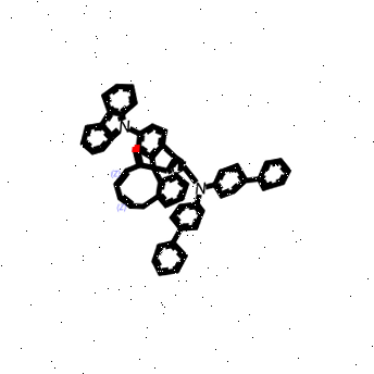 C=C1/C=C\C=C/Cc2ccccc2C12c1cc(N(c3ccc(-c4ccccc4)cc3)c3ccc(-c4ccccc4)cc3)ccc1-c1ccc(-n3c4ccccc4c4ccccc43)cc12